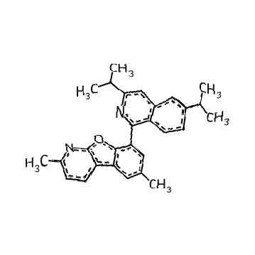 Cc1cc(-c2nc(C(C)C)cc3cc(C(C)C)ccc23)c2oc3nc(C)ccc3c2c1